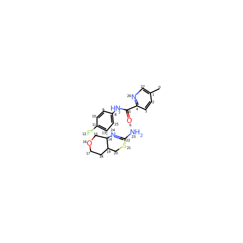 Cc1ccc(C(=O)Nc2ccc(F)c([C@@]34COCCC3CSC(N)=N4)c2)nc1